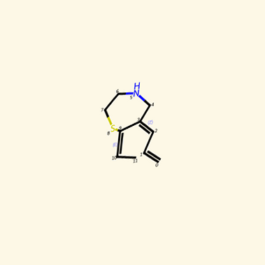 C=C/C=C1/CNCCS/C1=C/C